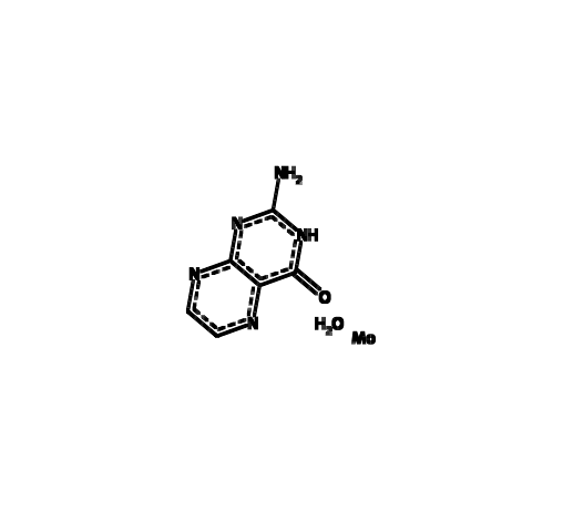 Nc1nc2nccnc2c(=O)[nH]1.O.[Mo]